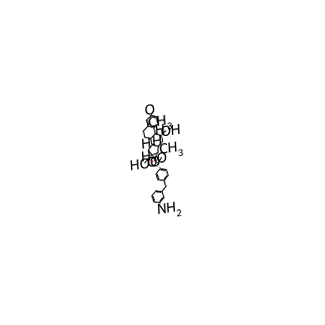 C[C@]12C=CC(=O)C=C1CC[C@@H]1[C@@H]2[C@@H](O)C[C@@]2(C)[C@H]1C[C@H]1O[C@@H](c3ccc(Cc4cccc(N)c4)cc3)O[C@]12C(=O)CO